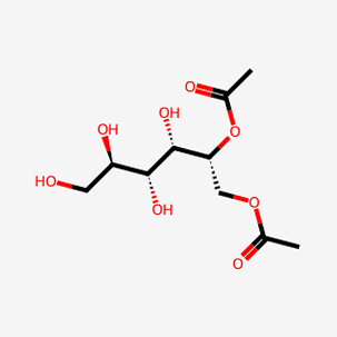 CC(=O)OC[C@@H](OC(C)=O)[C@@H](O)[C@H](O)[C@H](O)CO